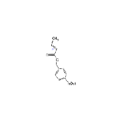 C/C=C/C(=O)OCc1ccc(CCCCCCCC)cc1